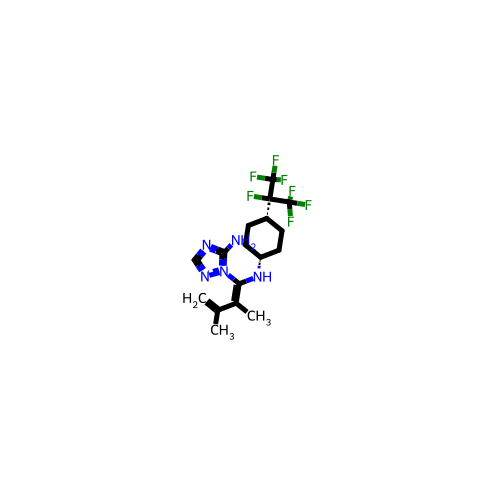 C=C(C)/C(C)=C(/N[C@H]1CC[C@@H](C(F)(C(F)(F)F)C(F)(F)F)CC1)n1ncnc1N